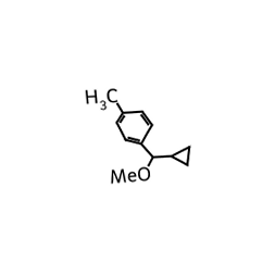 COC(c1ccc(C)cc1)C1CC1